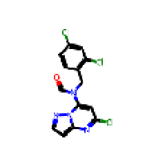 O=CN(Cc1ccc(Cl)cc1Cl)c1cc(Cl)nc2ccnn12